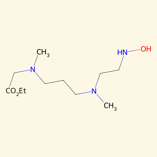 CCOC(=O)CN(C)CCCN(C)CCNO